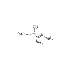 CCC(O)/C(N)=N/N